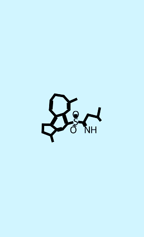 C/C1=C/c2c(S(=O)(=O)C(=N)CC(C)C)cc3c(c2/C=C\CC1)CCC3C